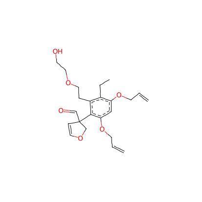 C=CCOc1cc(OCC=C)c(C2(C=O)C=COC2)c(CCOCCO)c1CC